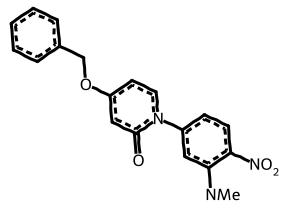 CNc1cc(-n2ccc(OCc3ccccc3)cc2=O)ccc1[N+](=O)[O-]